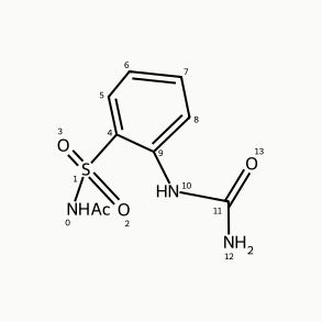 CC(=O)NS(=O)(=O)c1ccccc1NC(N)=O